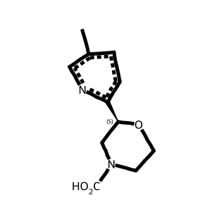 Cc1ccc([C@@H]2CN(C(=O)O)CCO2)nc1